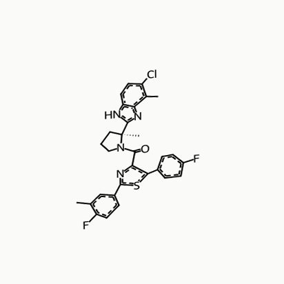 Cc1cc(-c2nc(C(=O)N3CCC[C@@]3(C)c3nc4c(C)c(Cl)ccc4[nH]3)c(-c3ccc(F)cc3)s2)ccc1F